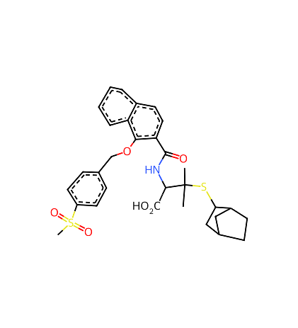 CC(C)(SC1CC2CCC1C2)C(NC(=O)c1ccc2ccccc2c1OCc1ccc(S(C)(=O)=O)cc1)C(=O)O